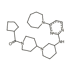 O=C(C1CCCC1)N1CCC(N2CCCC(Nc3nccc(N4CCCCCC4)n3)C2)CC1